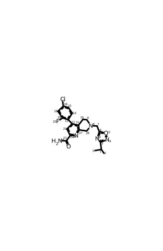 CC(C)c1noc(CN2CCc3c(-c4ccc(Cl)cc4F)cc(C(N)=O)nc3C2)n1